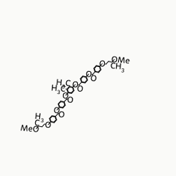 COC(C)CCOc1ccc(C(=O)Oc2ccc(C(=O)Oc3ccc(OC(=O)c4ccc(OC(=O)c5ccc(OCCC(C)OC)cc5)cc4)c(C)c3C)cc2)cc1